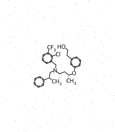 CC(CN(CC[C@@H](C)Oc1cccc(CCO)c1)Cc1cccc(C(F)(F)F)c1Cl)c1ccccc1